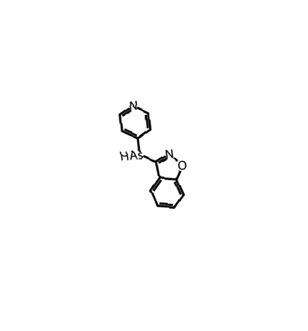 c1ccc2c([AsH]c3ccncc3)noc2c1